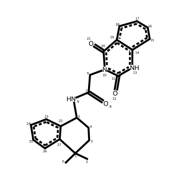 CC1(C)CCC(NC(=O)Cn2c(=O)[nH]c3ccccc3c2=O)c2ccccc21